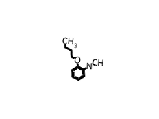 C#[N+]c1ccccc1OCCCC